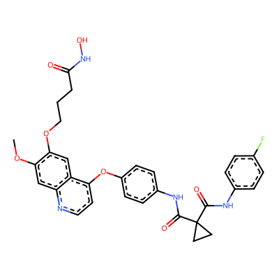 COc1cc2nccc(Oc3ccc(NC(=O)C4(C(=O)Nc5ccc(F)cc5)CC4)cc3)c2cc1OCCCC(=O)NO